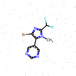 Cn1c(C(F)F)nc(Br)c1-c1cncnc1